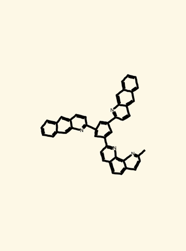 Cc1ccc2ccc3ccc(-c4cc(-c5ccc6cc7ccccc7cc6n5)cc(-c5ccc6cc7ccccc7cc6n5)c4)nc3c2n1